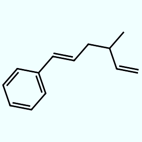 C=CC(C)CC=Cc1ccccc1